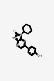 O=c1[nH]c2ncc(-c3ccc(O)cc3)nc2n1C1CCCCC1